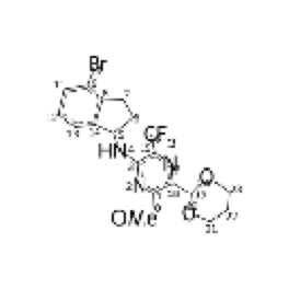 COc1nc(NC2CCc3c(Br)cccc32)c(C(F)(F)F)nc1C1OCCCO1